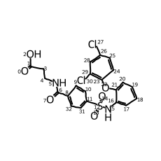 O=C(O)CCNC(=O)c1ccc(S(=O)(=O)Nc2ccccc2Oc2ccc(Cl)cc2Cl)cc1